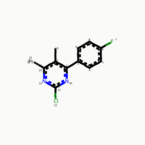 [CH2]c1c(-c2ccc(F)cc2)nc(Cl)nc1C(C)C